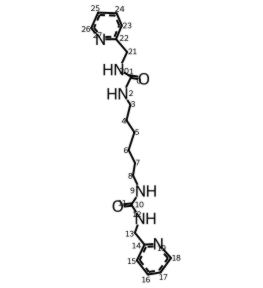 O=C(NCCCCCCNC(=O)NCc1ccccn1)NCc1ccccn1